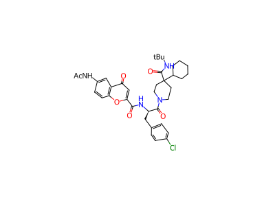 CC(=O)Nc1ccc2oc(C(=O)N[C@H](Cc3ccc(Cl)cc3)C(=O)N3CCC(C(=O)NC(C)(C)C)(C4CCCCC4)CC3)cc(=O)c2c1